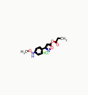 CCC(=O)Oc1cc(-c2ccc(NOC)cc2)no1.Cl